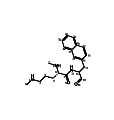 CNCCC[C@H](NC)C(=O)NC(C=O)Cc1ccc2ccccc2c1